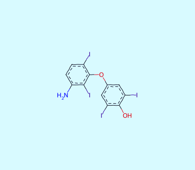 Nc1ccc(I)c(Oc2cc(I)c(O)c(I)c2)c1I